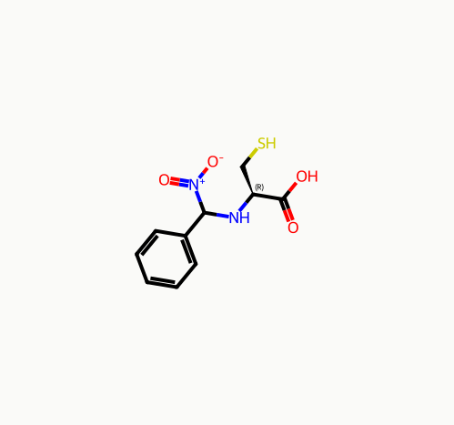 O=C(O)[C@H](CS)NC(c1ccccc1)[N+](=O)[O-]